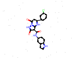 O=C(Nc1ccc2[nH]ccc2c1)c1c(=O)[nH]n2c(=O)cc(-c3cccc(Cl)c3)[nH]c12